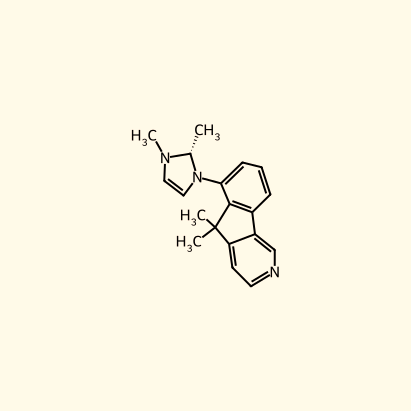 C[C@H]1N(C)C=CN1c1cccc2c1C(C)(C)c1ccncc1-2